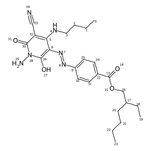 CCCCNc1c(/N=N/c2ccc(C(=O)OCC(CC)CCCC)cc2)c(O)n(N)c(=O)c1C#N